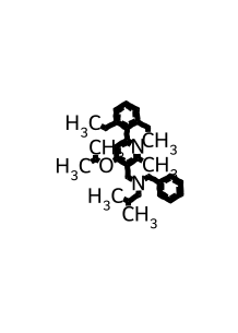 CCc1cccc(CC)c1-c1cc(OC(C)C)c(CN(Cc2ccccc2)CC(C)C)c(C)n1